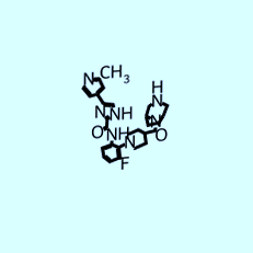 Cc1cc(-c2c[nH]c(C(=O)Nc3cccc(F)c3N3CCC(C(=O)N4C5CCC4CNC5)CC3)n2)ccn1